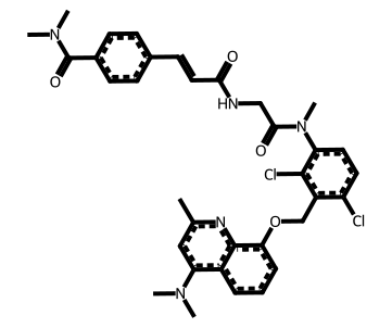 Cc1cc(N(C)C)c2cccc(OCc3c(Cl)ccc(N(C)C(=O)CNC(=O)/C=C/c4ccc(C(=O)N(C)C)cc4)c3Cl)c2n1